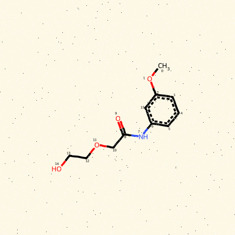 COc1cccc(NC(=O)COCCO)c1